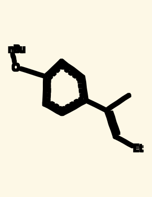 CC/C=C(\C)c1ccc(OCCCC)cc1